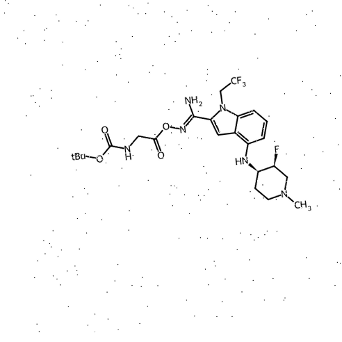 CN1CC[C@@H](Nc2cccc3c2cc(C(N)=NOC(=O)CNC(=O)OC(C)(C)C)n3CC(F)(F)F)[C@@H](F)C1